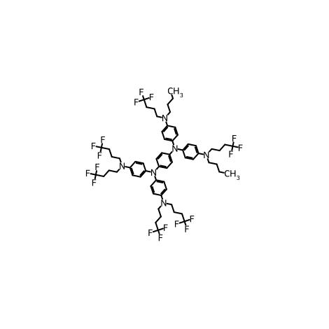 CCCCN(CCCC(F)(F)F)c1ccc(N(c2ccc(N(CCCC)CCCC(F)(F)F)cc2)c2ccc(N(c3ccc(N(CCCC(F)(F)F)CCCC(F)(F)F)cc3)c3ccc(N(CCCC(F)(F)F)CCCC(F)(F)F)cc3)cc2)cc1